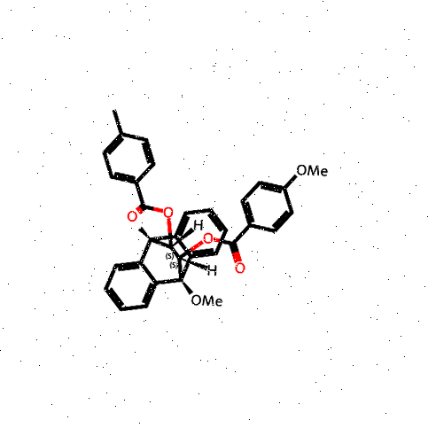 COc1ccc(C(=O)O[C@H]2[C@@H](OC(=O)c3ccc(C)cc3)[C@]3(C)c4ccccc4[C@@]2(OC)c2ccccc23)cc1